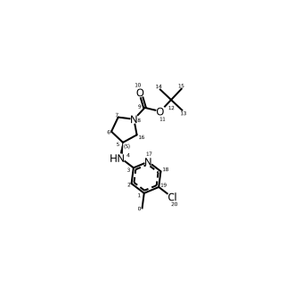 Cc1cc(N[C@H]2CCN(C(=O)OC(C)(C)C)C2)ncc1Cl